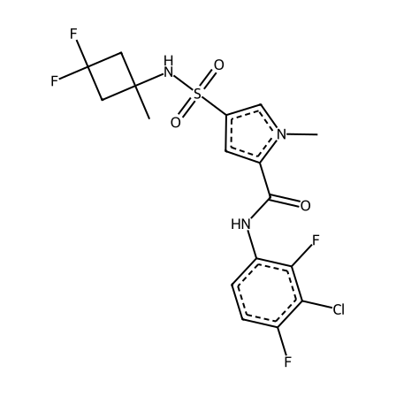 Cn1cc(S(=O)(=O)NC2(C)CC(F)(F)C2)cc1C(=O)Nc1ccc(F)c(Cl)c1F